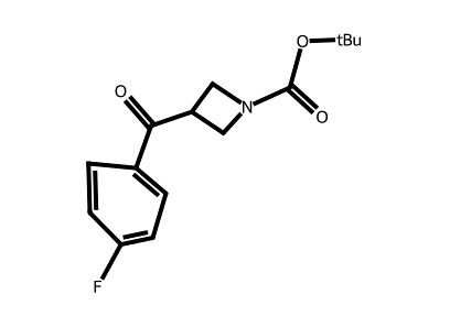 CC(C)(C)OC(=O)N1CC(C(=O)c2ccc(F)cc2)C1